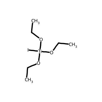 CC[O][Ti]([I])([O]CC)[O]CC